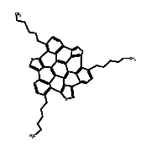 CCCCCCc1ccc2c3csc4c5c(CCCCCC)ccc6c7csc8c9c(CCCCCC)ccc%10c%11csc%12c1c2c1c(c34)c(c65)c(c78)c(c%109)c1c%11%12